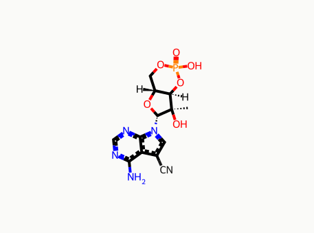 C[C@@]1(O)[C@@H]2OP(=O)(O)OC[C@H]2O[C@H]1n1cc(C#N)c2c(N)ncnc21